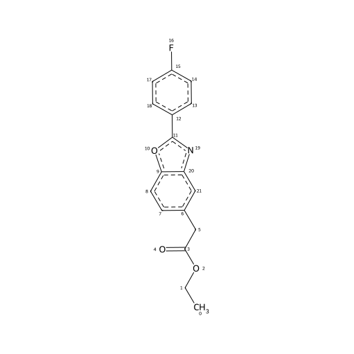 CCOC(=O)Cc1ccc2oc(-c3ccc(F)cc3)nc2c1